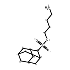 NCCCCOS(=O)(=O)C1C2CC3CC(C2)CC1C3